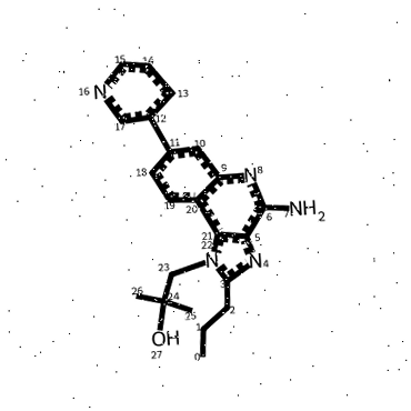 CCCc1nc2c(N)nc3cc(-c4cccnc4)ccc3c2n1CC(C)(C)O